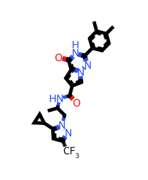 Cc1ccc(-c2nn3cc(C(=O)NC(C)Cn4nc(C(F)(F)F)cc4C4CC4)cc3c(=O)[nH]2)cc1C